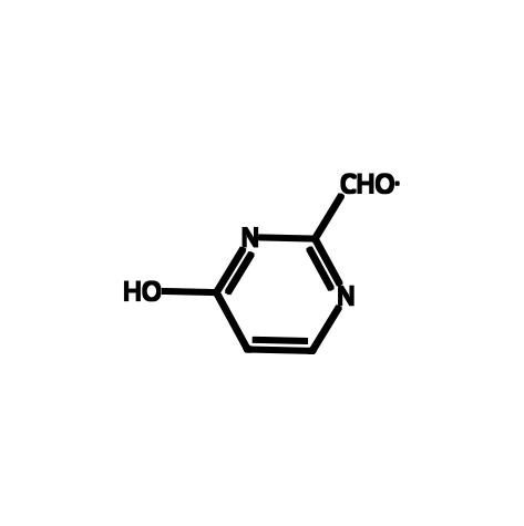 O=[C]c1nccc(O)n1